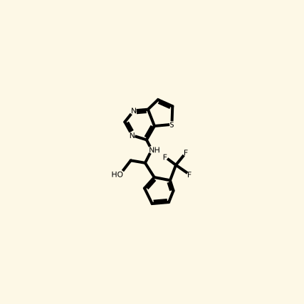 OCC(Nc1ncnc2ccsc12)c1ccccc1C(F)(F)F